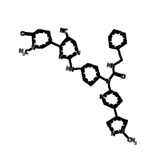 Cn1cc(-c2ccc(N(C(=O)NCc3ccccc3)c3ccc(Nc4ncc(C#N)c(-c5ccc(=O)n(C)c5)n4)cc3)nc2)cn1